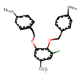 COc1ccc(COc2cc(C(=O)O)cc(F)c2OCc2ccc(OC)cc2)cc1